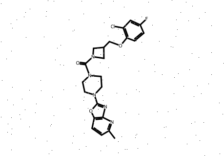 Cc1ccc2oc(N3CCN(C(=O)N4CC(COc5ccc(F)cc5Cl)C4)CC3)nc2n1